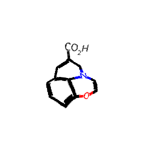 O=C(O)C1=Cc2cccc3c2N(C=CO3)C1